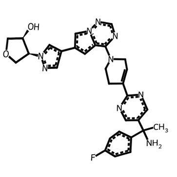 CC(N)(c1ccc(F)cc1)c1cnc(C2=CCN(c3ncnn4cc(-c5cnn([C@H]6COC[C@H]6O)c5)cc34)CC2)nc1